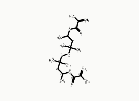 C=C(C)C(=O)OC(C)CC(C)(C)OOC(C)(C)CC(C)OC(=O)C(=C)C